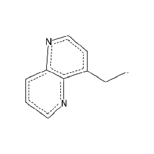 [CH2]Cc1ccnc2cccnc12